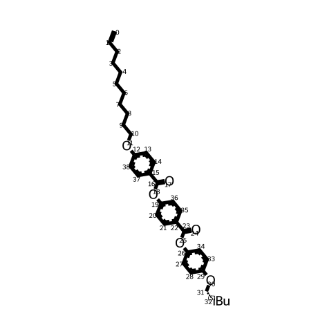 C=CCCCCCCCCCOc1ccc(C(=O)Oc2ccc(C(=O)Oc3ccc(OC[C@@H](C)CC)cc3)cc2)cc1